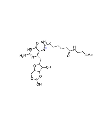 COCCNC(=O)CCCCS/C(N)=N/c1c(CC2OC3COP(O)OC3C2O)nc(N)[nH]c1=O